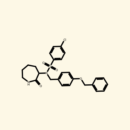 O=C1NCCCCC1N(Cc1ccc(OCc2ccccc2)cc1)S(=O)(=O)c1ccc(Cl)cc1